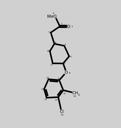 COC(=O)CC1CCC(Oc2cccc(Cl)c2C)CC1